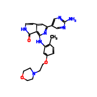 Cc1ccc(OCCN2CCOCC2)cc1Nc1nc(-c2cnc(N)nc2)cc2cc[nH]c(=O)c12